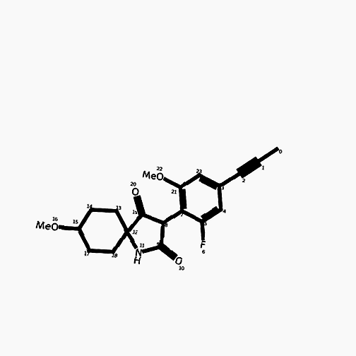 CC#Cc1cc(F)c(C2C(=O)NC3(CCC(OC)CC3)C2=O)c(OC)c1